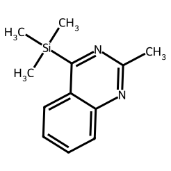 Cc1nc([Si](C)(C)C)c2ccccc2n1